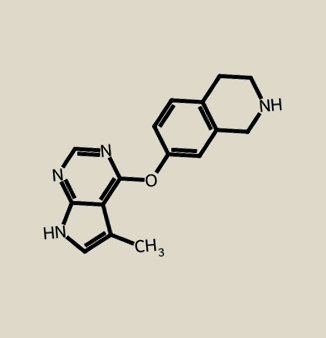 Cc1c[nH]c2ncnc(Oc3ccc4c(c3)CNCC4)c12